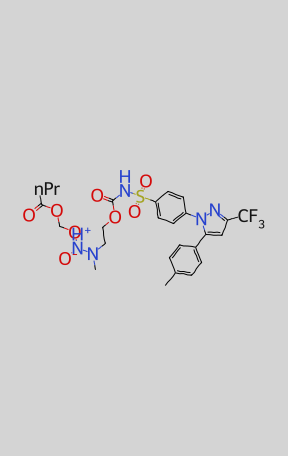 CCCC(=O)OCO[NH+]([O-])N(C)CCOC(=O)NS(=O)(=O)c1ccc(-n2nc(C(F)(F)F)cc2-c2ccc(C)cc2)cc1